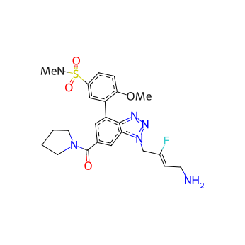 CNS(=O)(=O)c1ccc(OC)c(-c2cc(C(=O)N3CCCC3)cc3c2nnn3C/C(F)=C/CN)c1